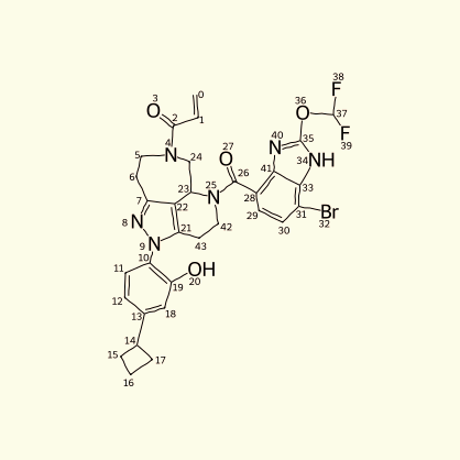 C=CC(=O)N1CCc2nn(-c3ccc(C4CCC4)cc3O)c3c2C(C1)N(C(=O)c1ccc(Br)c2[nH]c(OC(F)F)nc12)CC3